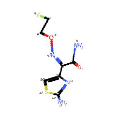 NC(=O)C(=NOCCF)c1csc(N)n1